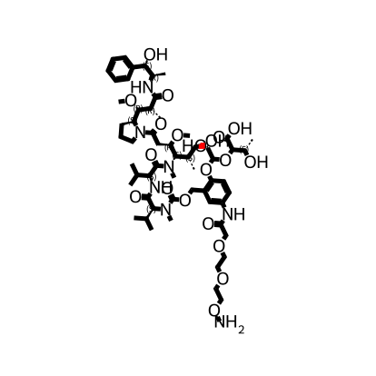 CC[C@H](C)[C@@H]([C@@H](CC(=O)N1CCC[C@H]1[C@H](OC)[C@@H](C)C(=O)N[C@H](C)[C@@H](O)c1ccccc1)OC)N(C)C(=O)[C@@H](NC(=O)[C@H](C(C)C)N(C)C(=O)OCc1cc(NC(=O)COCCOCCON)ccc1OC(OC(C(=O)O)[C@H](C)O)C(O)O)C(C)C